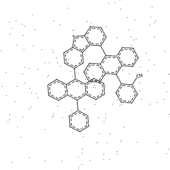 N#Cc1ccccc1-c1c2ccccc2c(-c2cccc3sc4ccc(-c5c6ccccc6c(-c6ccccc6)c6ccccc56)cc4c23)c2ccccc12